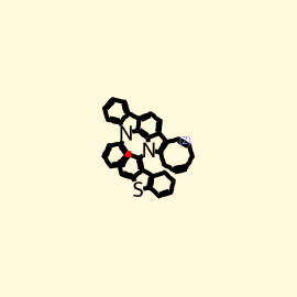 C1#CCc2c(c3ccc4c5ccccc5n(-c5ccccc5)c4c3n2-c2cccc3sc4c(c23)CCC=C4)/C=C\C1